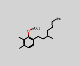 CCCCCCCCOc1c(CCC(C)CCCC(C)CC)ccc(C)c1C